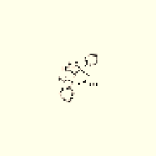 CC1(c2ccccc2)CC(O)CC(C)(c2ccccc2)N1O